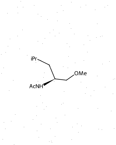 COC[C@H](CC(C)C)NC(C)=O